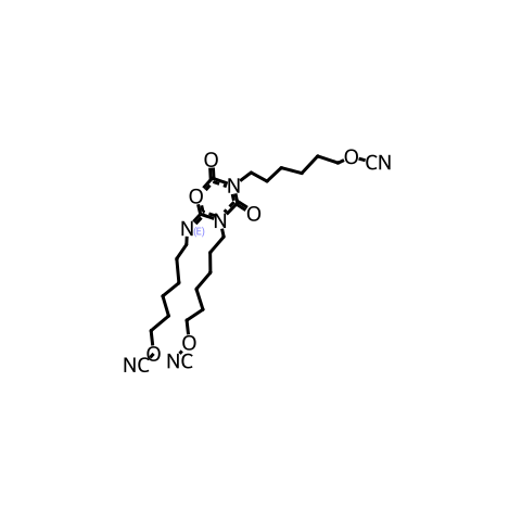 N#COCCCCCC/N=c1/oc(=O)n(CCCCCCOC#N)c(=O)n1CCCCCCOC#N